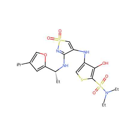 CC[C@@H](NC1=NS(=O)(=O)C=C1Nc1csc(S(=O)(=O)N(CC)CC)c1O)c1cc(C(C)C)co1